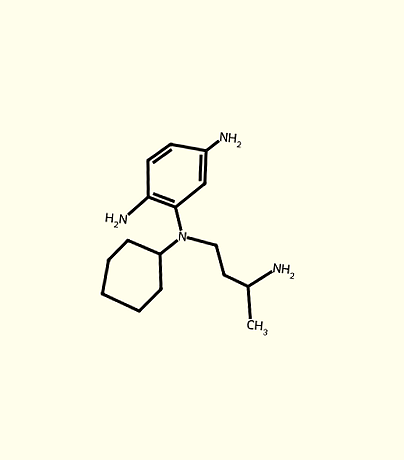 CC(N)CCN(c1cc(N)ccc1N)C1CCCCC1